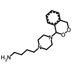 NCCCCN1CCN(C2OOCc3ccccc32)CC1